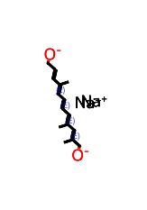 C\C(C=CC[O-])=C/C=C/C=C(C)/C=C(\C)C[O-].[Na+].[Na+]